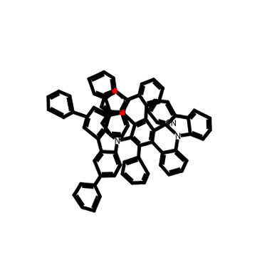 N#Cc1c(-c2ccccc2-n2c3ccccc3c3ccccc32)c(-c2ccccc2)c(-n2c3ccc(-c4ccccc4)cc3c3cc(-c4ccccc4)ccc32)c(-c2ccccc2)c1-c1ccccc1-n1c2ccccc2c2ccccc21